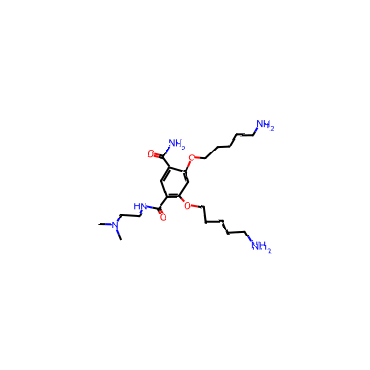 CN(C)CCNC(=O)c1cc(C(N)=O)c(OCCCCCN)cc1OCCCCCN